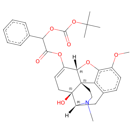 COc1ccc2c3c1O[C@H]1C(OC(=O)C(OC(=O)OC(C)(C)C)c4ccccc4)=CC[C@@]4(O)[C@@H](C2)N(C)CC[C@]314